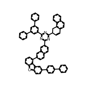 C1=CC(c2nc(-c3cc(-c4ccccc4)cc(-c4ccccc4)c3)nc(-c3ccc4ccc(-c5cccc6oc7ccc(-c8ccc(-c9ccccc9)cc8)cc7c56)cc4c3)n2)Cc2c1ccc1ccccc21